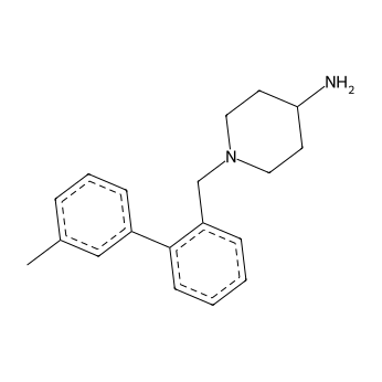 Cc1cccc(-c2ccccc2CN2CCC(N)CC2)c1